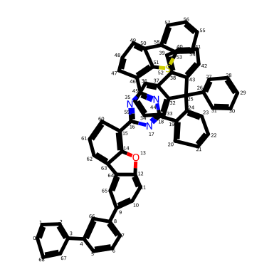 c1ccc(-c2cccc(-c3ccc4oc5c(-c6nc(-c7ccccc7C7(c8ccccc8)c8ccccc8-c8ccccc87)nc(-c7cccc8c7sc7ccccc78)n6)cccc5c4c3)c2)cc1